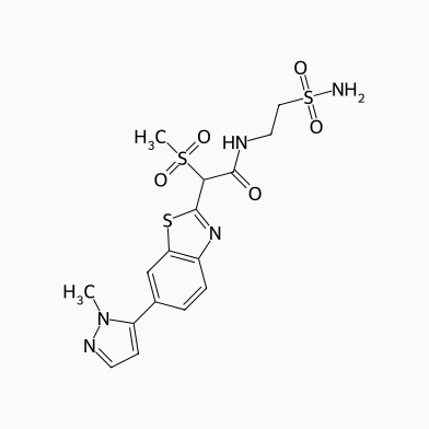 Cn1nccc1-c1ccc2nc(C(C(=O)NCCS(N)(=O)=O)S(C)(=O)=O)sc2c1